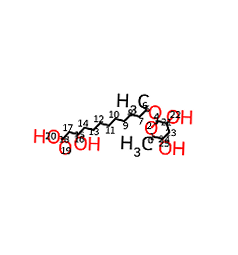 CC1O[C@@H](O[C@@H](C)CCCCCCCC[C@@H](O)CC(=O)O)C(O)C[C@H]1O